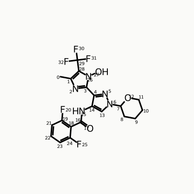 Cc1nc(-c2nn(C3CCCCO3)cc2NC(=O)c2c(F)cccc2F)n(O)c1C(F)(F)F